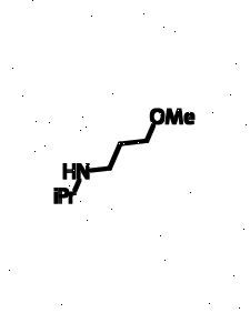 [CH2]C(C)NCCCOC